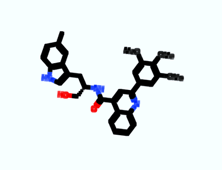 COc1cc(-c2cc(C(=O)N[C@H](CO)Cc3c[nH]c4ccc(C)cc34)c3ccccc3n2)cc(OC)c1OC